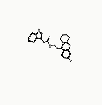 O=C(Cc1c[nH]c2ccccc12)NCNc1c2c(nc3cc(Cl)ccc13)CCCC2